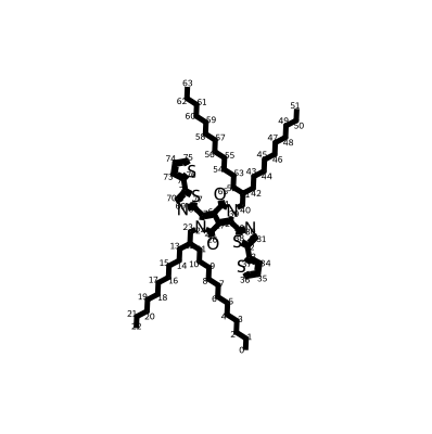 CCCCCCCCCCCCC(CCCCCCCCCC)CN1C(=O)C2=C(c3ncc(-c4cccs4)s3)N(CC(CCCCCCCCCC)CCCCCCCCCCCC)C(=O)C2=C1c1ncc(-c2cccs2)s1